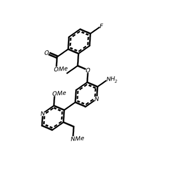 CNCc1ccnc(OC)c1-c1cnc(N)c(OC(C)c2cc(F)ccc2C(=O)OC)c1